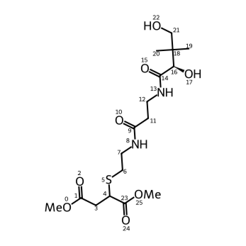 COC(=O)CC(SCCNC(=O)CCNC(=O)[C@H](O)C(C)(C)CO)C(=O)OC